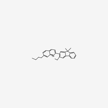 CCCCc1ccc2ccc(-c3cc4c(cc3CC)-c3ccccc3C4(C)C)nc2c1